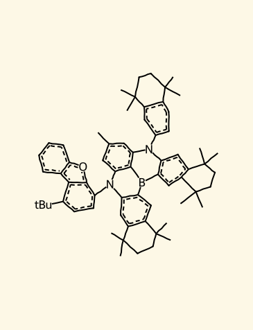 Cc1cc2c3c(c1)N(c1ccc(C(C)(C)C)c4c1oc1ccccc14)c1cc4c(cc1B3c1cc3c(cc1N2c1ccc2c(c1)C(C)(C)CCC2(C)C)C(C)(C)CCC3(C)C)C(C)(C)CCC4(C)C